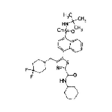 CC(C)(C)NS(=O)(=O)c1ccc(-c2sc(C(=O)NC3CCCCC3)nc2CC2CCC(F)(F)CC2)c2ccccc12